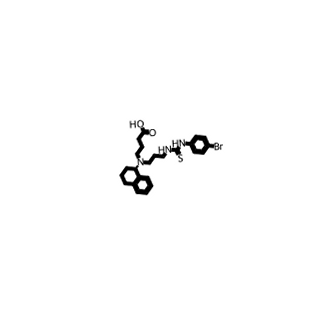 O=C(O)CCCN(CCCNC(=S)Nc1ccc(Br)cc1)[C@@H]1CCCc2ccccc21